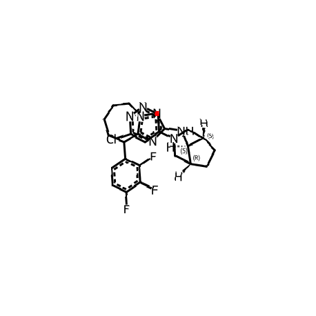 Fc1ccc(C2CCCCn3nc(N[C@@H]4[C@@H]5CC[C@H]4CN(c4cnnc(Cl)c4)C5)nc32)c(F)c1F